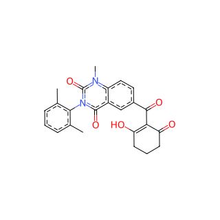 Cc1cccc(C)c1-n1c(=O)c2cc(C(=O)C3=C(O)CCCC3=O)ccc2n(C)c1=O